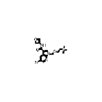 C[Si](C)(C)CCOCn1cc(C(=O)NC2COC2)c2cc(Br)cnc21